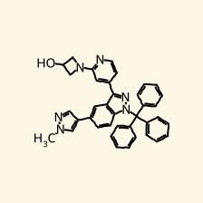 Cn1cc(-c2ccc3c(c2)c(-c2ccnc(N4CC(O)C4)c2)nn3C(c2ccccc2)(c2ccccc2)c2ccccc2)cn1